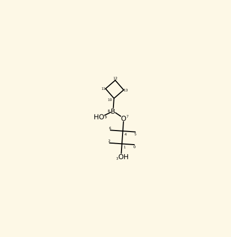 CC(C)(O)C(C)(C)OB(O)C1CCC1